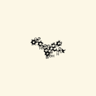 CC(C)(C)OC(=O)NCCCC[C@H](NC(=O)[C@@H](Cc1cc(Br)c(O)c(Br)c1)NC(=O)N1CCC(n2c(=O)oc3ccccc32)CC1)C(=O)N1CCN(c2ccncc2)CC1